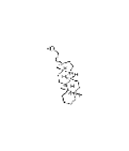 C[C@]12CCCC[C@H]1CC[C@@H]1[C@@H]2CC[C@]2(C)[C@@H](OCO)CC[C@@H]12